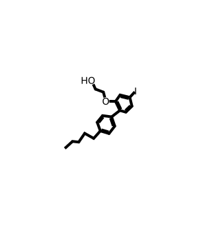 CCCCCc1ccc(-c2ccc(I)cc2OCCO)cc1